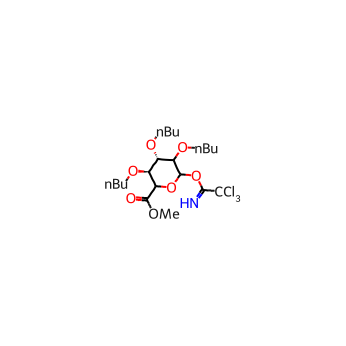 CCCCOC1C(OC(=N)C(Cl)(Cl)Cl)OC(C(=O)OC)[C@@H](OCCCC)[C@@H]1OCCCC